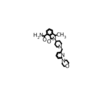 CC1c2cccc(C(N)=O)c2C(=O)N1C1CCN(Cc2cccc(N3CCOCC3)n2)CC1